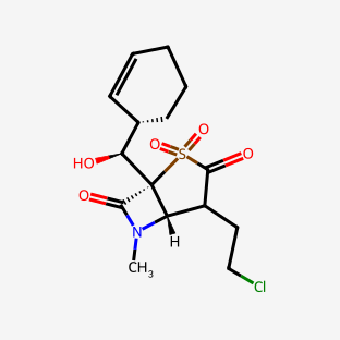 CN1C(=O)[C@@]2([C@@H](O)[C@@H]3C=CCCC3)[C@@H]1C(CCCl)C(=O)S2(=O)=O